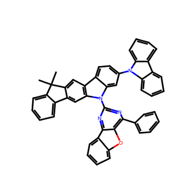 CC1(C)c2ccccc2-c2cc3c(cc21)c1ccc(-n2c4ccccc4c4ccccc42)cc1n3-c1nc(-c2ccccc2)c2oc3ccccc3c2n1